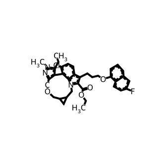 CCOC(=O)c1c(CCCOc2cccc3cc(F)ccc23)c2ccc(Cl)c3c2n1CC1CC1COCc1nn(C)c(CC)c1-3